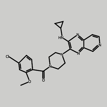 COc1cc(Cl)ccc1C(=O)N1CCN(c2nc3cnccc3nc2NC2CC2)CC1